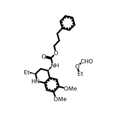 CCOC=O.CC[C@H]1C[C@@H](NC(=O)OCCCc2ccccc2)c2cc(OC)c(OC)cc2N1